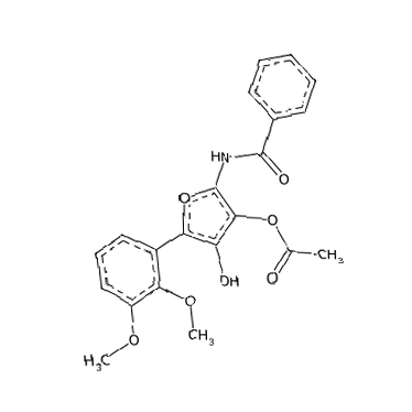 COc1cccc(-c2oc(NC(=O)c3ccccc3)c(OC(C)=O)c2O)c1OC